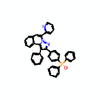 O=P(c1ccccc1)(c1ccccc1)c1ccc(-c2nn3c(-c4ccccn4)cc4ccccc4c3c2-c2ccccc2)cc1